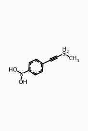 C[SiH2]C#Cc1ccc(N(O)O)cc1